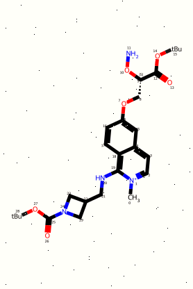 C[n+]1ccc2cc(OC[C@H](ON)C(=O)OC(C)(C)C)ccc2c1NCC1CN(C(=O)OC(C)(C)C)C1